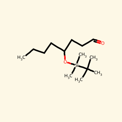 CCCCC(CCC=O)O[Si](C)(C)C(C)(C)C